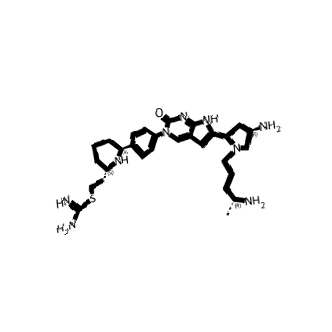 C[C@@H](N)CCCN1C[C@H](N)CC1c1cc2cn(-c3ccc([C@@H]4CCC[C@@H](CCSC(=N)N)N4)cc3)c(=O)nc2[nH]1